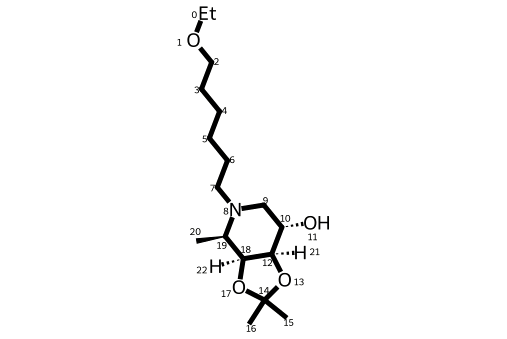 CCOCCCCCCN1C[C@H](O)[C@H]2OC(C)(C)O[C@H]2[C@H]1C